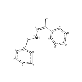 CC(=NNCc1ccccc1)c1ccccc1